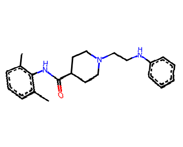 Cc1cccc(C)c1NC(=O)C1CCN(CCNc2ccccc2)CC1